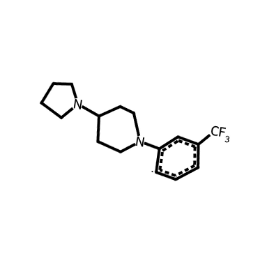 FC(F)(F)c1cc[c]c(N2CCC(N3CCCC3)CC2)c1